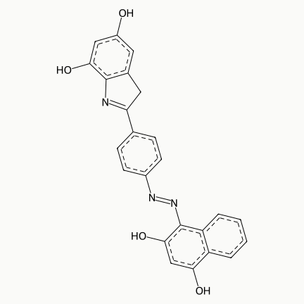 Oc1cc(O)c2c(c1)CC(c1ccc(/N=N/c3c(O)cc(O)c4ccccc34)cc1)=N2